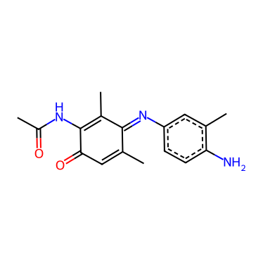 CC(=O)NC1=C(C)C(=Nc2ccc(N)c(C)c2)C(C)=CC1=O